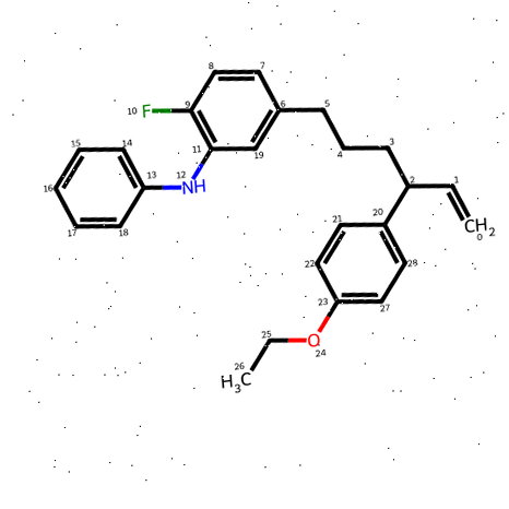 C=CC(CCCc1ccc(F)c(Nc2ccccc2)c1)c1ccc(OCC)cc1